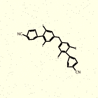 N#Cc1ccc(-c2c(I)cc(Cc3cc(I)c(-c4ccc(C#N)cc4)c(I)c3)cc2I)cc1